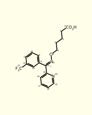 O=C(O)CCCCO/N=C(\c1cccc(C(F)(F)F)c1)c1ccccn1